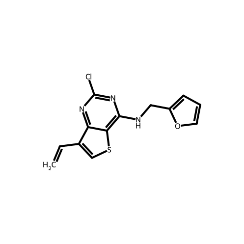 C=Cc1csc2c(NCc3ccco3)nc(Cl)nc12